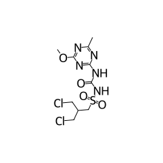 COc1nc(C)nc(NC(=O)NS(=O)(=O)CC(CCl)CCl)n1